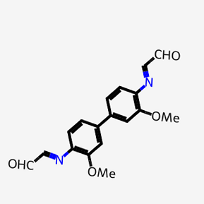 COc1cc(-c2ccc(N=CC=O)c(OC)c2)ccc1N=CC=O